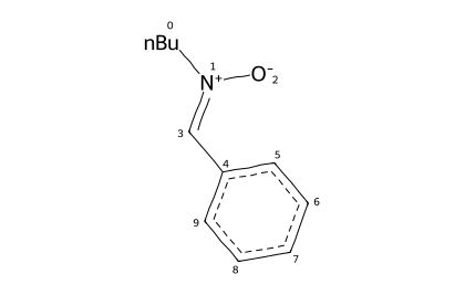 CCCC[N+]([O-])=Cc1ccccc1